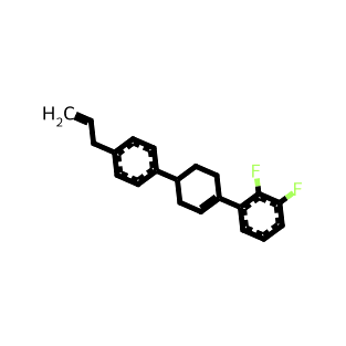 C=CCc1ccc(C2CC=C(c3cccc(F)c3F)CC2)cc1